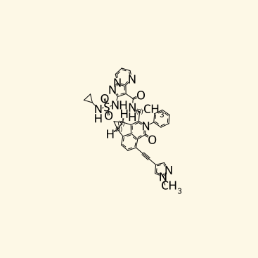 C[C@@H](NC(=O)c1c(NS(=O)(=O)NC2CC2)nn2cccnc12)c1c2c3c(ccc(C#Cc4cnn(C)c4)c3c(=O)n1-c1ccccc1)[C@@H]1C[C@H]21